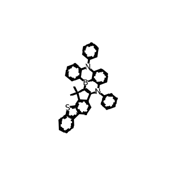 CC1(C)C2=C(c3ccc4c(sc5ccccc54)c31)N(c1ccccc1)c1cccc3c1B2c1ccccc1N3c1ccccc1